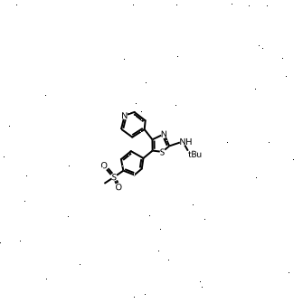 CC(C)(C)Nc1nc(-c2ccncc2)c(-c2ccc(S(C)(=O)=O)cc2)s1